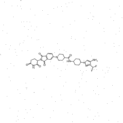 Nc1cn(C2CCC(NC(=O)C3CCN(c4ccc5c(c4)C(=O)N(C4CCC(=O)NC4=O)C5=O)CC3)CC2)nc1C(F)F